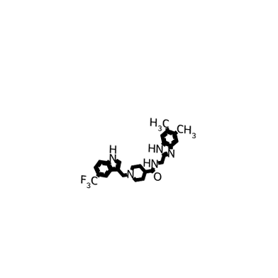 Cc1cc2nc(CNC(=O)C3CCN(Cc4c[nH]c5ccc(C(F)(F)F)cc45)CC3)[nH]c2cc1C